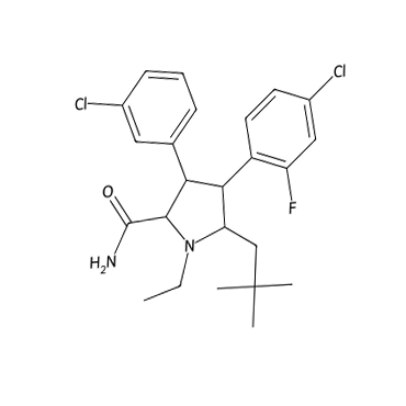 CCN1C(CC(C)(C)C)C(c2ccc(Cl)cc2F)C(c2cccc(Cl)c2)C1C(N)=O